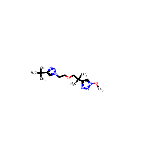 COn1cc(C(C)(C)COCCn2cc(C(C)(C)C)nn2)nn1